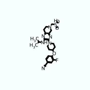 CC(C)Nc1nc2c(nc1N1CCC(Oc3ccc(C#N)cc3F)CC1)CN(C[SH](=O)=O)CC2